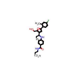 Cc1cc(F)ccc1-c1cc(C(CC(C)C)Nc2ccc(C(=O)NCCC(=O)O)cc2)c(CO)o1